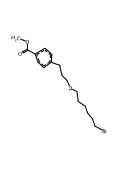 COC(=O)c1ccc(CCCOCCCCCCBr)cc1